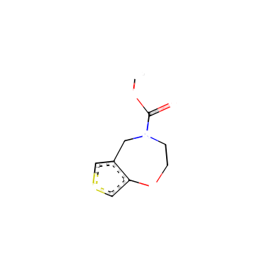 CCCCOC(=O)N1CCOc2cscc2C1